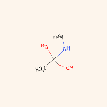 CCCCNC(O)(O)C(=O)O